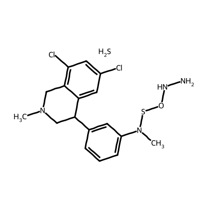 CN1Cc2c(Cl)cc(Cl)cc2C(c2cccc(N(C)SONN)c2)C1.S